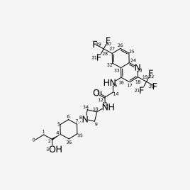 CCC(O)[C@H]1CC[C@H](N2CC(NC(=O)CNc3cc(C(F)(F)F)nc4ccc(C(F)(F)F)cc34)C2)CC1